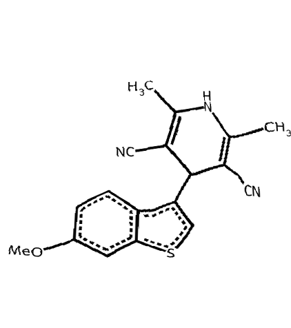 COc1ccc2c(C3C(C#N)=C(C)NC(C)=C3C#N)csc2c1